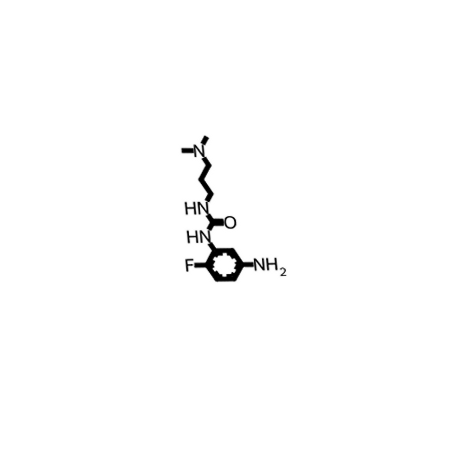 CN(C)CCCNC(=O)Nc1cc(N)ccc1F